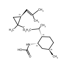 CC(C)=C[C@@H]1CC1(C)C.CC(C)[C@@H]1CC[C@@H](C)C[C@@H]1NC(=O)O